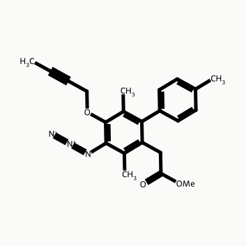 CC#CCOc1c(C)c(-c2ccc(C)cc2)c(CC(=O)OC)c(C)c1N=[N+]=[N-]